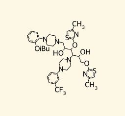 Cc1csc(OCC(O)C(C(Oc2nc(C)cs2)C(O)CN2CCN(c3ccccc3OCC(C)C)CC2)N2CCN(c3cccc(C(F)(F)F)c3)CC2)n1